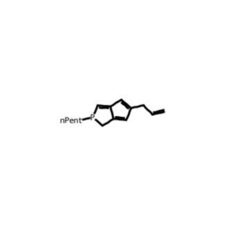 C=CCC1=CC2=CP(CCCCC)CC2=C1